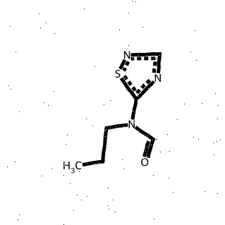 CCCN([C]=O)c1ncns1